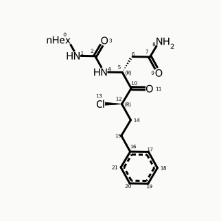 CCCCCCNC(=O)N[C@H](CC(N)=O)C(=O)[C@H](Cl)CCc1ccccc1